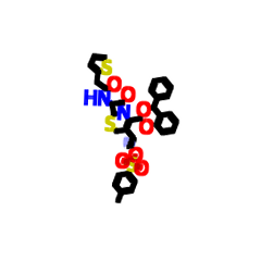 Cc1ccc(S(=O)(=O)O/C=C/C2=C(C(=O)OC(c3ccccc3)c3ccccc3)N3C(=O)C(NC(=O)Cc4cccs4)C3SC2)cc1